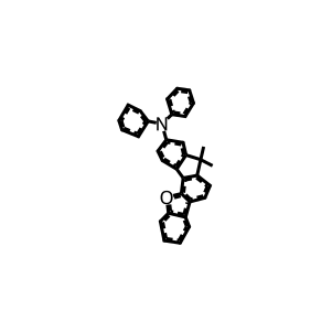 CC1(C)c2cc(N(c3ccccc3)c3ccccc3)ccc2-c2c1ccc1c2oc2ccccc21